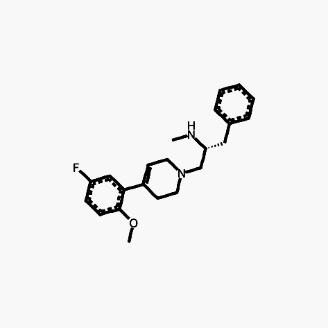 CN[C@H](Cc1ccccc1)CN1CC=C(c2cc(F)ccc2OC)CC1